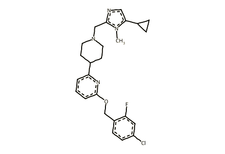 Cn1c(C2CC2)cnc1CN1CCC(c2cccc(OCc3ccc(Cl)cc3F)n2)CC1